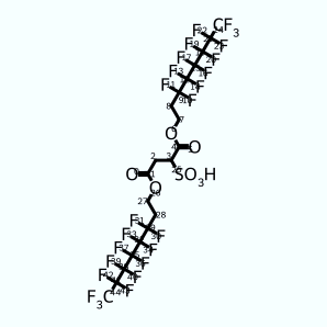 O=C(CC(C(=O)OCCC(F)(F)C(F)(F)C(F)(F)C(F)(F)C(F)(F)C(F)(F)F)S(=O)(=O)O)OCCC(F)(F)C(F)(F)C(F)(F)C(F)(F)C(F)(F)C(F)(F)F